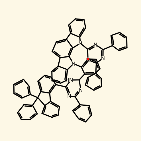 c1ccc(C2=NC(c3ccccc3-n3c4ccccc4c4ccc5c6ccccc6n(-c6nc(-c7ccccc7)nc(-c7ccccc7)n6)c5c43)NC(c3cccc4c3-c3ccccc3C4(c3ccccc3)c3ccccc3)=N2)cc1